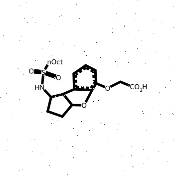 CCCCCCCCS(=O)(=O)NC1CCC2Oc3c(OCC(=O)O)cccc3C12